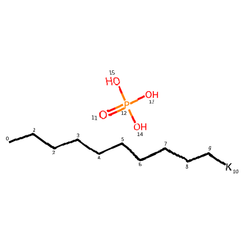 CCCCCCCCC[CH2][K].O=P(O)(O)O